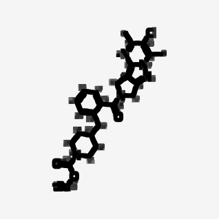 Cc1nc2c3c(nn2c(C)c1Cl)CN(C(=O)c1ccccc1CC1CCN(C(=O)OC(C)(C)C)CC1)C3